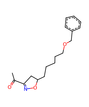 CC(=O)C1=NOC(CCCCCOCc2ccccc2)C1